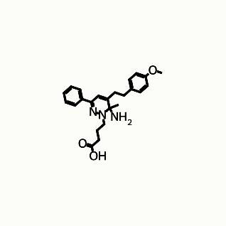 COc1ccc(CCC2=CC(c3ccccc3)=NN(CCCC(=O)O)C2(C)N)cc1